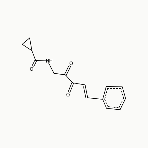 O=C(/C=C/c1ccccc1)C(=O)CNC(=O)C1CC1